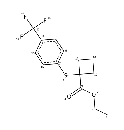 CCOC(=O)C1(Sc2ccc(C(F)(F)F)cc2)CCC1